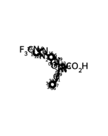 Cc1cc(-c2ncc3nc(C(F)(F)F)ccc3n2)ccc1N(C)C(=O)c1cc(C(=O)O)nn1CCOCc1ccccc1